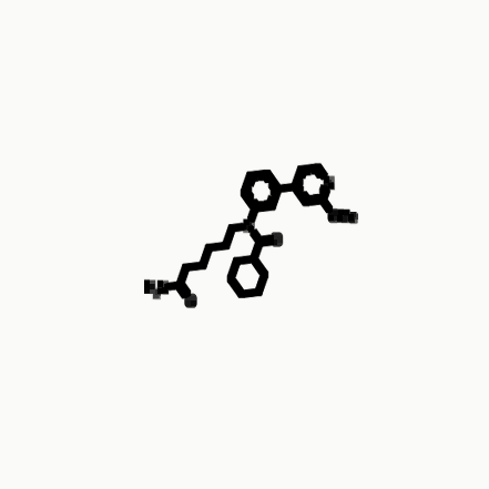 COc1cc(-c2cccc(N(CCCCCC(N)=O)C(=O)C3CCCCC3)c2)ccn1